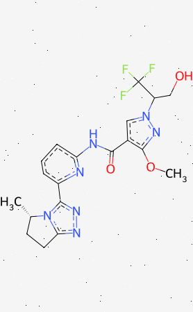 COc1nn(C(CO)C(F)(F)F)cc1C(=O)Nc1cccc(-c2nnc3n2[C@@H](C)CC3)n1